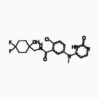 CN(c1ccc(Cl)c(C(=O)NCC2(O)CCC(F)(F)CC2)c1)c1ccnc(=O)[nH]1